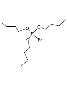 CCCCO[P](Br)(OCCCC)OCCCC